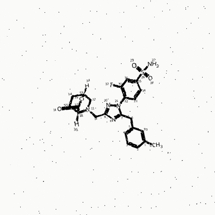 Cc1cccc(Cc2nc(CN3C[C@H]4CC[C@@H]3C(=O)O4)nn2-c2ccc(S(N)(=O)=O)cc2F)c1